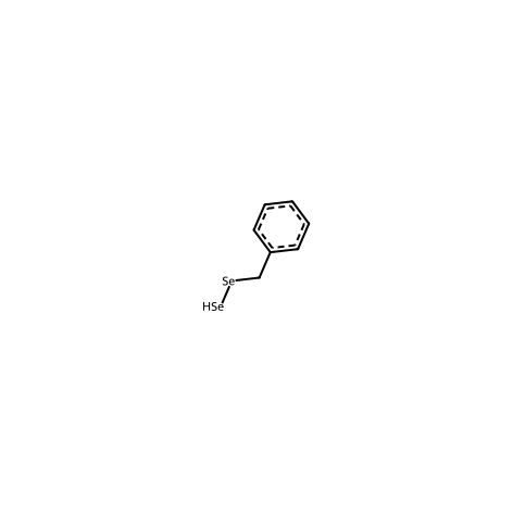 [SeH][Se]Cc1ccccc1